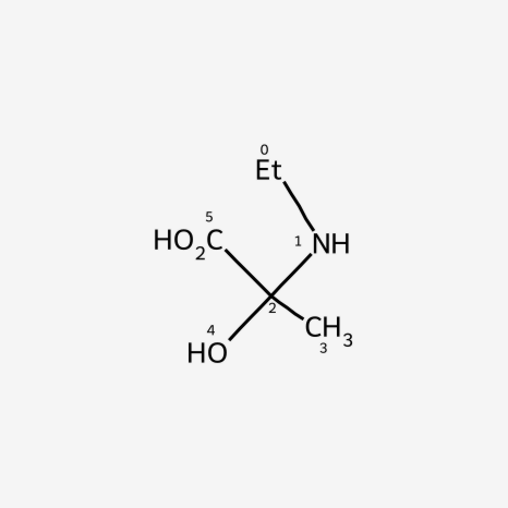 CCNC(C)(O)C(=O)O